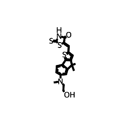 CN(CCO)c1ccc2c(c1)C(C)(C)c1cc(/C=C3\SC(=S)NC3=O)sc1-2